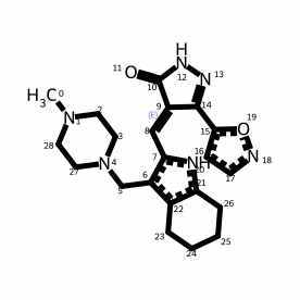 CN1CCN(Cc2c(/C=C3/C(=O)NN=C3c3ccno3)[nH]c3c2CCCC3)CC1